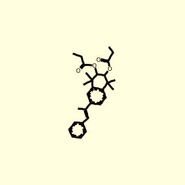 CCC(=O)OC1C(OC(=O)CC)C(C)(C)c2cc(C(C)=Cc3ccccc3)ccc2C1(C)C